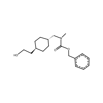 CN(C[C@H]1CC[C@H](CCO)CC1)C(=O)OCc1ccccc1